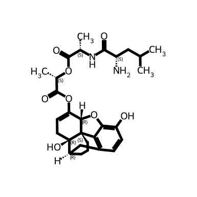 CC(C)C[C@H](N)C(=O)N[C@@H](C)C(=O)O[C@@H](C)C(=O)OC1=CC[C@@]2(O)[C@@H]3CCC[C@@]24c2c(ccc(O)c2O[C@@H]14)C3